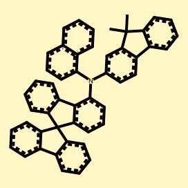 CC1(C)c2ccccc2-c2ccc(N(c3cccc4c3-c3ccccc3C43c4ccccc4-c4ccccc43)c3cccc4ccccc34)cc21